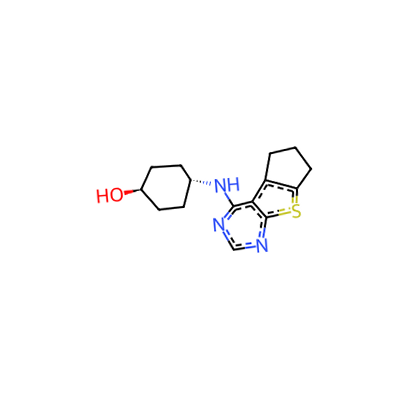 O[C@H]1CC[C@H](Nc2ncnc3sc4c(c23)CCC4)CC1